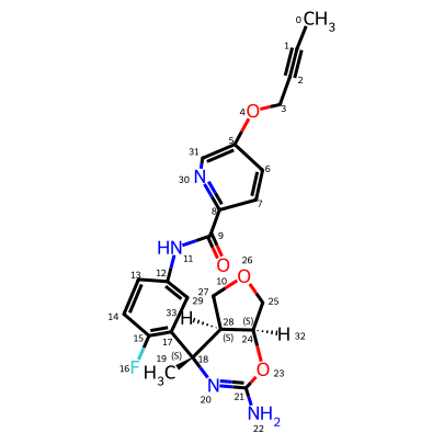 CC#CCOc1ccc(C(=O)Nc2ccc(F)c([C@@]3(C)N=C(N)O[C@@H]4COC[C@@H]43)c2)nc1